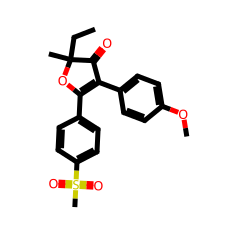 CCC1(C)OC(c2ccc(S(C)(=O)=O)cc2)=C(c2ccc(OC)cc2)C1=O